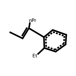 CC=C(CCC)c1ccccc1CC